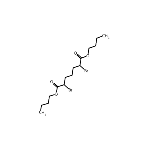 CCCCOC(=O)C(Br)CCCC(Br)C(=O)OCCCC